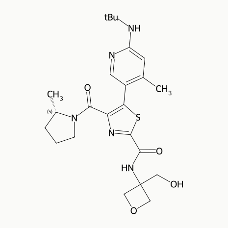 Cc1cc(NC(C)(C)C)ncc1-c1sc(C(=O)NC2(CO)COC2)nc1C(=O)N1CCC[C@@H]1C